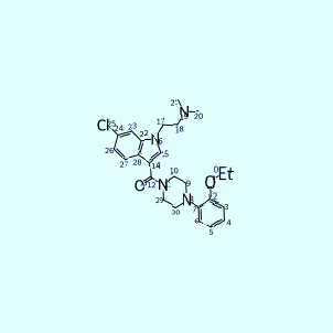 CCOc1ccccc1N1CCN(C(=O)c2cn(CCN(C)C)c3cc(Cl)ccc23)CC1